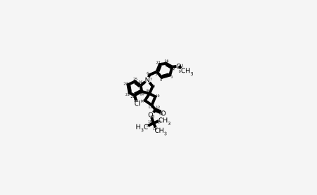 COc1ccc(CN2CC3(CC(C(=O)OC(C)(C)C)C3)c3c(Cl)cccc32)cc1